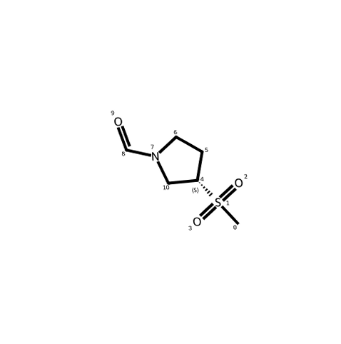 CS(=O)(=O)[C@H]1CCN(C=O)C1